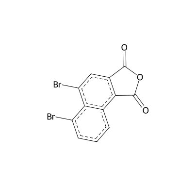 O=C1OC(=O)c2c1cc(Br)c1c(Br)cccc21